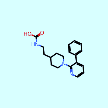 O=C(O)NCCC1CCN(c2ncccc2-c2ccccc2)CC1